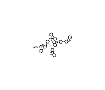 CCCCCCCCC1(CCCCCCCC)c2cc(C)ccc2-c2ccc(-c3ccc(CC4(Cc5ccc(C)cc5)c5ccccc5-c5ccc(N(c6ccc(-c7ccc8oc9ccccc9c8c7)cc6)c6ccc(-c7ccc8oc9ccccc9c8c7)cc6)cc54)cc3)cc21